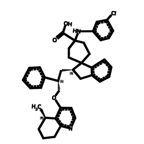 C[C@@H]1CCCc2nccc(OC[C@@H](C[C@H]3Cc4ccccc4C34CCC(Nc3cccc(Cl)c3)(C(=O)O)CC4)c3ccccc3)c21